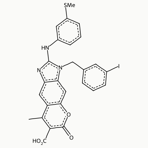 CSc1cccc(Nc2nc3cc4c(C)c(C(=O)O)c(=O)oc4cc3n2Cc2cccc(I)c2)c1